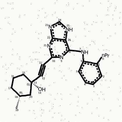 CCCc1ccccc1Nc1nc(C#C[C@]2(O)CCC[C@@H](C)C2)nc2nc[nH]c12